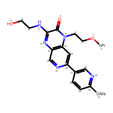 CCCOCCn1c(=O)c(NCCO)nc2cnc(-c3ccc(OC)nc3)cc21